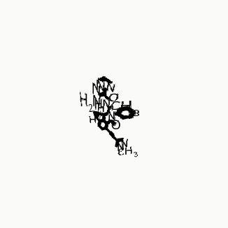 C[C@H](NC(=O)c1c(N)nn2cccnc12)c1c2c3c(ccc(C#Cc4cnn(C)c4)c3c(=O)n1-c1ccccc1)[C@@H]1C[C@H]21